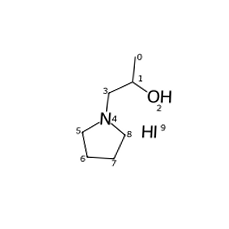 CC(O)CN1CCCC1.I